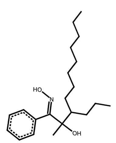 CCCCCCCCC(CCC)C(C)(O)C(=NO)c1ccccc1